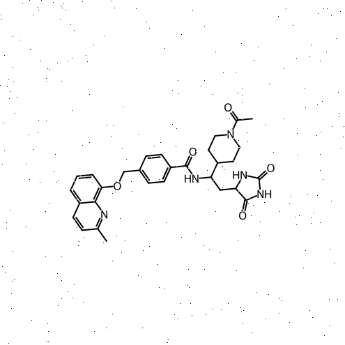 CC(=O)N1CCC(C(CC2NC(=O)NC2=O)NC(=O)c2ccc(COc3cccc4ccc(C)nc34)cc2)CC1